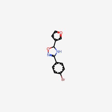 Brc1ccc(C2=NOC(c3ccoc3)N2)cc1